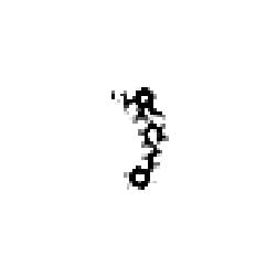 CC1c2cccc(C(N)=O)c2C(=O)N1C1CCN(CCCC2CCCCC2)CC1